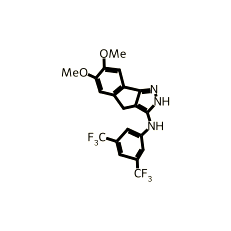 COc1cc2c(cc1OC)-c1n[nH]c(Nc3cc(C(F)(F)F)cc(C(F)(F)F)c3)c1C2